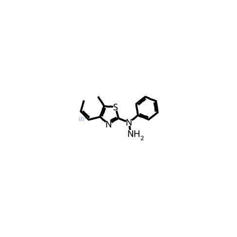 C/C=C\c1nc(N(N)c2ccccc2)sc1C